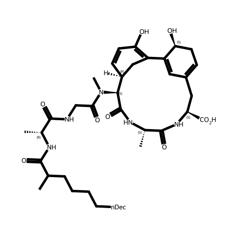 CCCCCCCCCCCCCCC(C)C(=O)N[C@H](C)C(=O)NCC(=O)N(C)[C@@H]1C(=O)N[C@@H](C)C(=O)N[C@H](C(=O)O)CC2=CC[C@H](O)C(=C2)C2=C(O)C=C[C@H]1C2